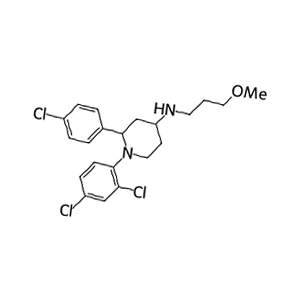 COCCCNC1CCN(c2ccc(Cl)cc2Cl)C(c2ccc(Cl)cc2)C1